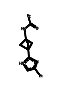 CCC(=O)NC12CC(c3nc(CC)c[nH]3)(C1)C2